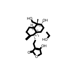 C=C1CC[C@@H]2[C@](C)(CO)[C@H](O)CC[C@@]2(C)[C@@H]1CCC1=C(O)COC1=O.CCO